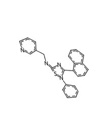 c1ccc(-n2sc(=NCc3cccnc3)nc2-c2cccc3ccccc23)cc1